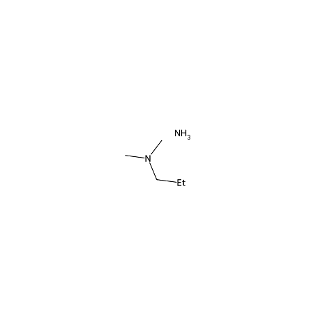 CCCN(C)C.N